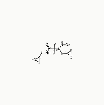 CC(C)(C(=O)NCC1CO1)N(CC1CO1)N=O